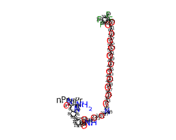 CCCN(CCC)C(=O)C1=Cc2ccc(-c3cccc(S(=O)(=O)NCCOCCOCCN(C)CCOCCOCCOCCOCCOCCOCCOCCOCCOCCOCCC(=O)Oc4c(F)c(F)cc(F)c4F)c3)cc2N=C(N)C1